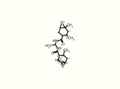 CC(NC(=O)C1CC2OC2(C)CC1C)NC(=O)C1CC2OC2(C)CC1C